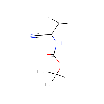 CC(C)C(C#N)NC(=O)OC(C)(C)C